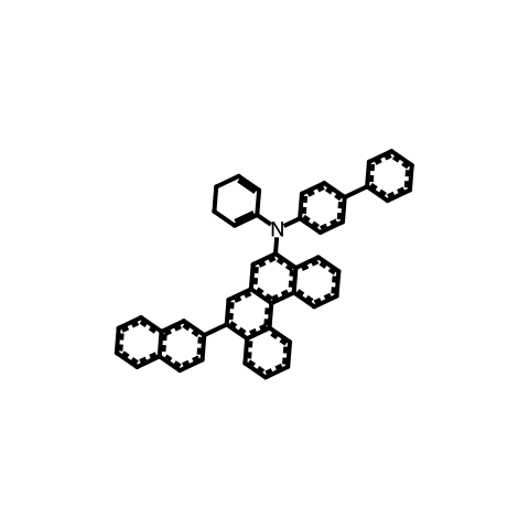 C1=CC(N(c2ccc(-c3ccccc3)cc2)c2cc3cc(-c4ccc5ccccc5c4)c4ccccc4c3c3ccccc23)=CCC1